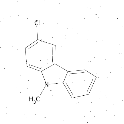 Cn1c2cc[c]cc2c2cc(Cl)ccc21